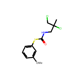 COc1cccc(SC(=O)NCC(C)(Cl)CCl)c1